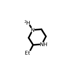 [2H]N1CCNC(CC)C1